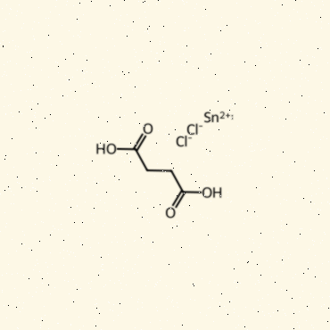 O=C(O)CCC(=O)O.[Cl-].[Cl-].[Sn+2]